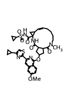 COc1ccc2c(OC3CC4C(=O)NC5(C(=O)NS(=O)(=O)C6CC6)CC5/C=C\CCCCN(C)C(=O)C4C3)nc(-c3nc(C4CC4)cs3)cc2c1